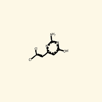 Nc1nc(O)cc(C=C(Cl)Cl)n1